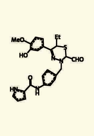 CCC1SC(C=O)N(Cc2ccc(NC(=O)c3ccc[nH]3)cc2)N=C1c1ccc(OC)c(O)c1